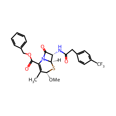 CO[C@H]1S[C@@H]2[C@@H](NC(=O)Cc3ccc(C(F)(F)F)cc3)C(=O)N2C(C(=O)OCc2ccccc2)=C1C